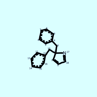 C1=CC(Cc2ccccc2)(Cc2ccccc2)N=C1